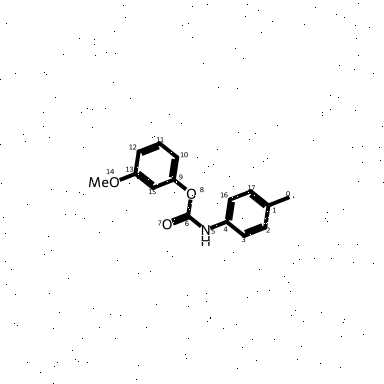 [CH2]c1ccc(NC(=O)Oc2cccc(OC)c2)cc1